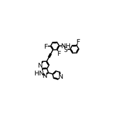 Fc1cccc(SNc2ccc(F)c(C#Cc3cnc4[nH]nc(-c5ccncc5)c4c3)c2F)c1